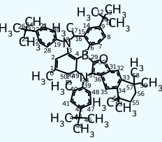 CC1=CC2=C3B(c4ccc(C(C)(C)C)cc4C(C)N2c2ccc(C(C)(C)C)cc2)c2oc4cc5c(cc4c2N(c2ccc(C(C)(C)C)cc2)C3[C@@H]1C)C(C)(C)CCC5(C)C